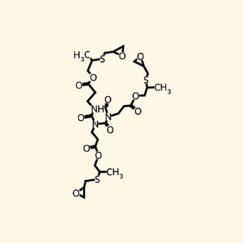 CC(COC(=O)CCNC(=O)N(CCC(=O)OCC(C)SCC1CO1)C(=O)N(C=O)CCC(=O)OCC(C)SCC1CO1)SCC1CO1